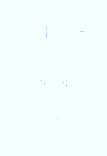 C[C@@H]1CCC[C@H](N2CCC(c3c(F)ccc(Cl)c3F)=CC2=O)c2cc(ccn2)-c2cc(Cl)c(O)c(Cl)c2NC1=O